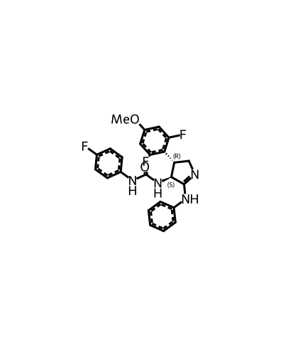 COc1cc(F)c([C@@H]2CN=C(Nc3ccccc3)[C@H]2NC(=O)Nc2ccc(F)cc2)c(F)c1